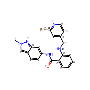 Cn1cc2ccc(NC(=O)c3ccccc3NCc3ccnc(Br)c3)cc2n1